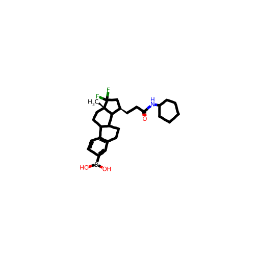 C[C@]12CCC3c4ccc(B(O)O)cc4CCC3C1[C@H](CCC(=O)NC1CCCCC1)CC2(F)F